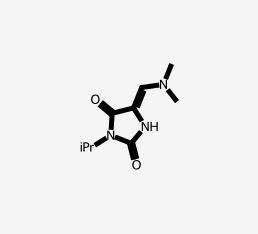 CC(C)N1C(=O)NC(=CN(C)C)C1=O